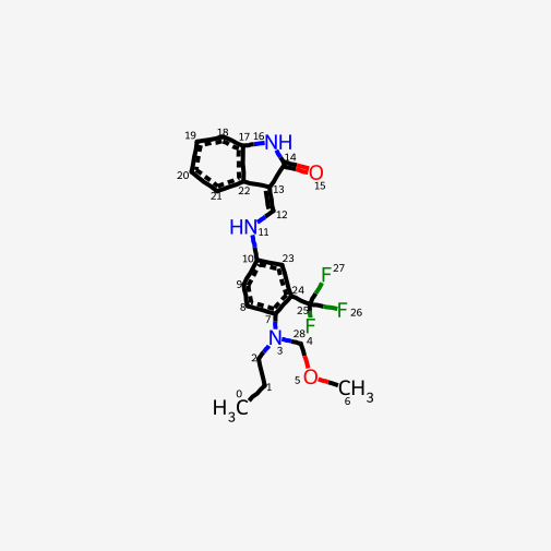 CCCN(COC)c1ccc(N/C=C2/C(=O)Nc3ccccc32)cc1C(F)(F)F